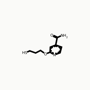 NC(=O)c1ccnc(OCCCS)c1